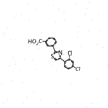 O=C(O)c1cccc(-c2nc(-c3ccc(Cl)cc3Cl)cs2)c1